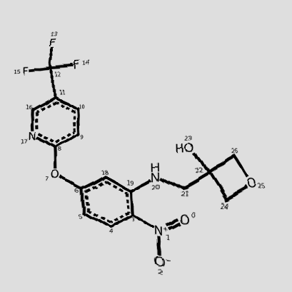 O=[N+]([O-])c1ccc(Oc2ccc(C(F)(F)F)cn2)cc1NCC1(O)COC1